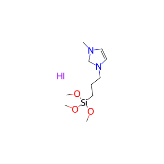 CO[Si](CCCN1C=CN(C)C1)(OC)OC.I